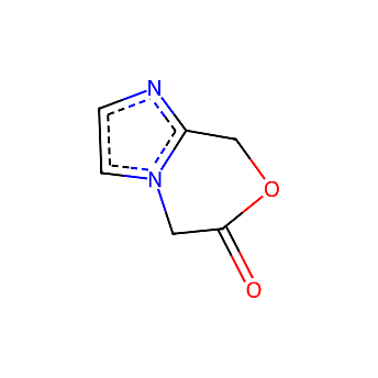 O=C1Cn2ccnc2CO1